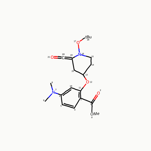 COC(=O)c1ccc(N(C)C)cc1OC1CCN(OC(C)(C)C)C(=C=O)C1